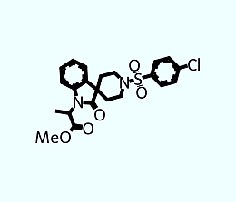 COC(=O)C(C)N1C(=O)C2(CCN(S(=O)(=O)c3ccc(Cl)cc3)CC2)c2ccccc21